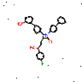 O=C1C(CC[C@H](O)c2ccc(F)cc2)C(c2ccc(-c3cccc(O)c3)cc2)N1c1ccc(-c2ccccc2)cc1